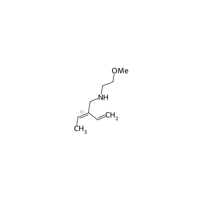 C=C/C(=C\C)CNCCOC